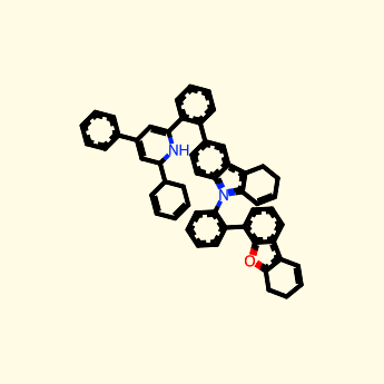 C1=CCC(C2C=C(c3ccccc3)C=C(c3ccccc3-c3ccc4c(c3)c3c(n4-c4ccccc4-c4cccc5c6c(oc45)CCC=C6)C=CCC3)N2)C=C1